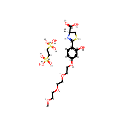 COCCOCCOCCOc1ccc(C2=N[C@@](C)(C(=O)O)CS2)c(O)c1.O=S(=O)(O)CCS(=O)(=O)O